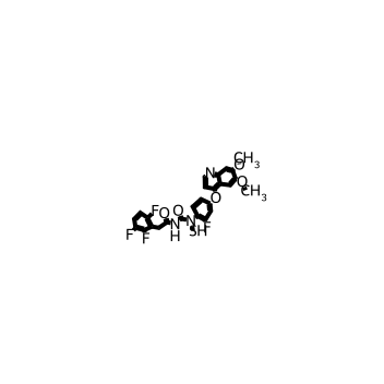 COc1cc2nccc(Oc3ccc(N(S)C(=O)NC(=O)Cc4c(F)ccc(F)c4F)c(F)c3)c2cc1OC